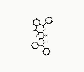 CN1C(=O)C(NC(=O)NC(c2ccccc2)c2ccccc2)N=C(c2ccccc2)c2ccccc21